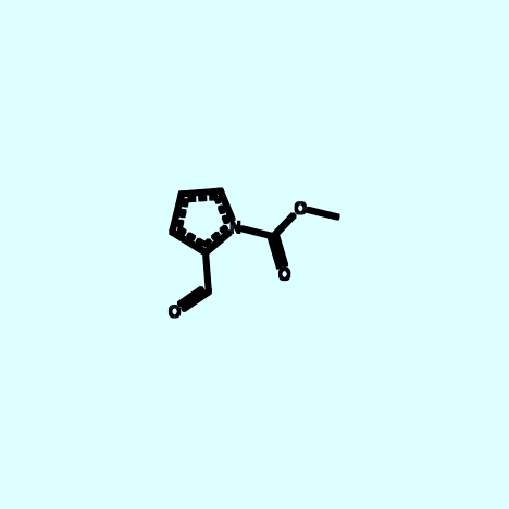 COC(=O)n1cccc1C=O